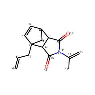 C=CCC12C=CC(C1)C1C(=O)N(C(=C)C)C(=O)C12